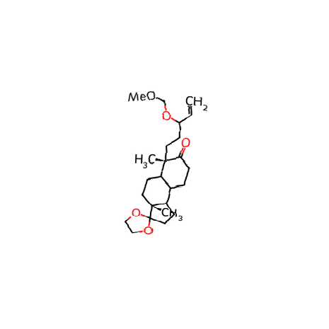 C=CC(CC[C@]1(C)C(=O)CCC2C1CC[C@]1(C)C2CCC12OCCO2)OCOC